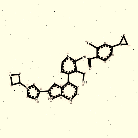 O=C(Nc1nccc(-c2ccnc3[nH]c(-c4cn(C5COC5)cn4)cc23)c1CO)c1ccc(C2CC2)cc1F